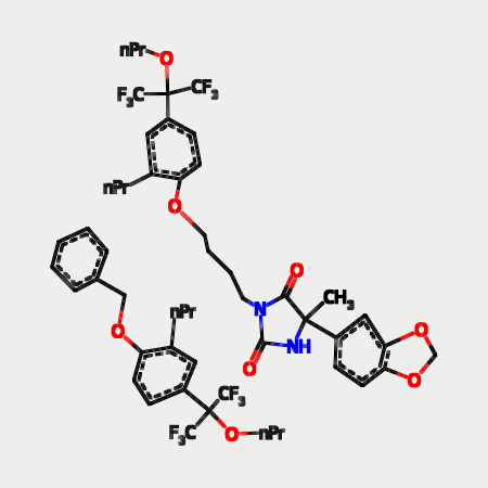 CCCOC(c1ccc(OCCCCN2C(=O)NC(C)(c3ccc4c(c3)OCO4)C2=O)c(CCC)c1)(C(F)(F)F)C(F)(F)F.CCCOC(c1ccc(OCc2ccccc2)c(CCC)c1)(C(F)(F)F)C(F)(F)F